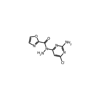 Nc1nc(Cl)cc(N(N)C(=O)c2ncco2)n1